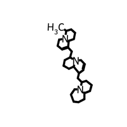 CC1CCCC2C(CC3CCCC4C(CC5CCCC6CCCCCN65)C=CCN34)=CCCN12